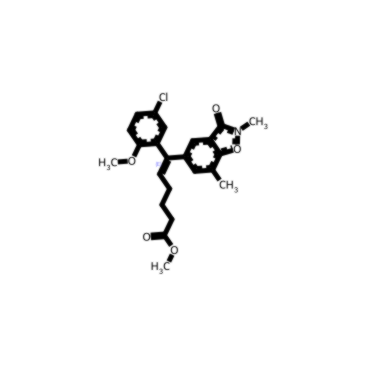 COC(=O)CCC/C=C(\c1cc(C)c2on(C)c(=O)c2c1)c1cc(Cl)ccc1OC